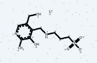 Cc1ncc(CO)c(CNCCCS(=O)(=O)[O-])c1O.[Li+]